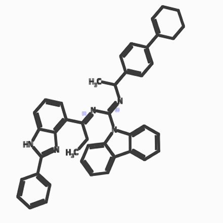 CC/C(=N\C(=N/C(C)c1ccc(C2=CCCCC2)cc1)n1c2ccccc2c2ccccc21)c1cccc2[nH]c(-c3ccccc3)nc12